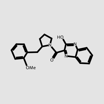 COc1ccccc1CC1CCCN1C(=O)c1nc2ccccc2nc1O